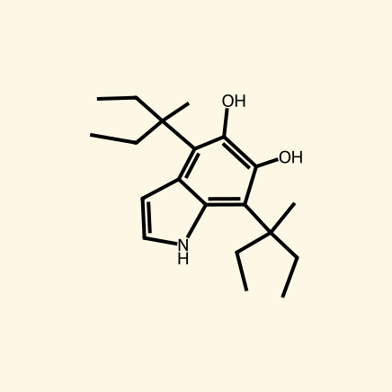 CCC(C)(CC)c1c(O)c(O)c(C(C)(CC)CC)c2[nH]ccc12